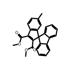 COC(=O)C1=C(C(=O)OC)C2(c3cc(C)ccc31)c1ccccc1-c1ccccc12